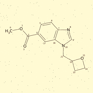 COC(=O)c1ccc2ncn(CC3CCO3)c2c1